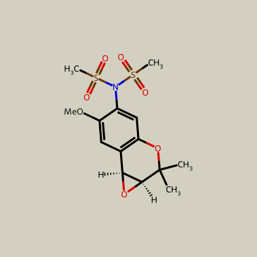 COc1cc2c(cc1N(S(C)(=O)=O)S(C)(=O)=O)OC(C)(C)[C@H]1O[C@@H]21